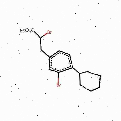 CCOC(=O)C(Br)Cc1ccc(C2CCCCC2)c(Br)c1